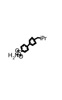 CC(C)Cc1ccc(-c2ccc(S(N)(=O)=O)cc2)cc1